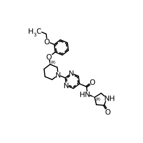 CCOc1ccccc1O[C@@H]1CCCN(c2ncc(C(=O)N[C@H]3CNC(=O)C3)cn2)C1